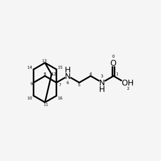 O=C(O)NCCNC12CC3CC(CC(C3)C1)C2